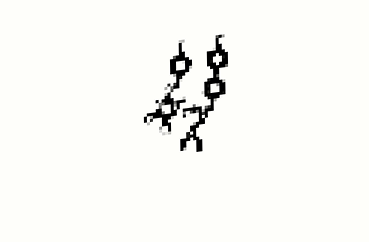 CCN(CC)CCN(C=O)Cc1ccc(-c2ccc(Cl)cc2)cc1.Cn1cc(Cl)c(=O)nc1SCc1ccc(F)cc1